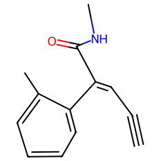 C#C/C=C(/C(=O)NC)c1ccccc1C